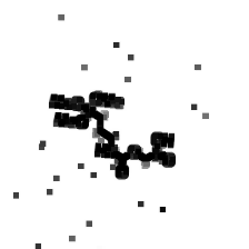 CO[Si](CCCNC(=O)OCS(=O)O)(OC)OC